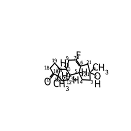 C[C@@]1(O)CC[C@H]2C(=C(F)C[C@@H]3[C@@H]2CC[C@]2(C)C(=O)CC[C@@H]32)C1